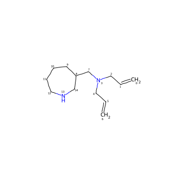 C=CCN(CC=C)CC1CCCCNC1